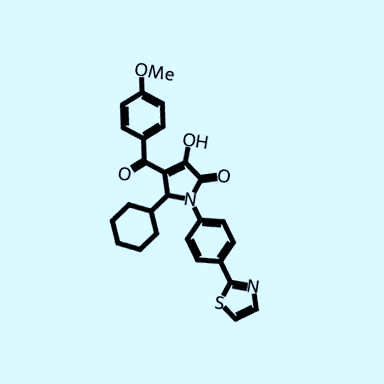 COc1ccc(C(=O)C2=C(O)C(=O)N(c3ccc(-c4nccs4)cc3)C2C2CCCCC2)cc1